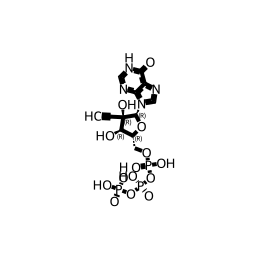 C#C[C@@]1(O)[C@H](O)[C@@H](COP(=O)(O)OP(=O)(O)OP(=O)(O)O)O[C@H]1n1cnc2c(=O)[nH]cnc21